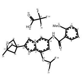 COc1ncccc1C(=O)Nc1cc(OC(F)F)c2nc(C34COC(C)(C3)C4)cn2c1.O=C(O)C(F)(F)F